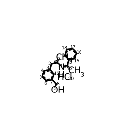 C[C@H](Cc1cccc(CO)c1)N[C@H](C)c1ccccc1.Cl